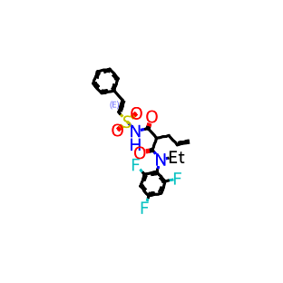 C=CCC(C(=O)NS(=O)(=O)/C=C/c1ccccc1)C(=O)N(CC)c1c(F)cc(F)cc1F